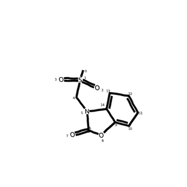 CS(=O)(=O)Cn1c(=O)oc2ccccc21